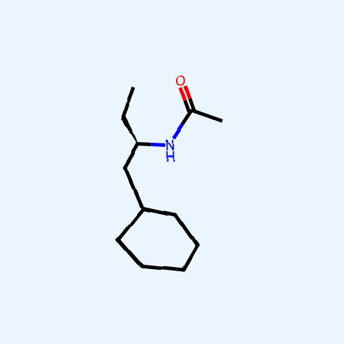 CC[C@H](CC1CCCCC1)NC(C)=O